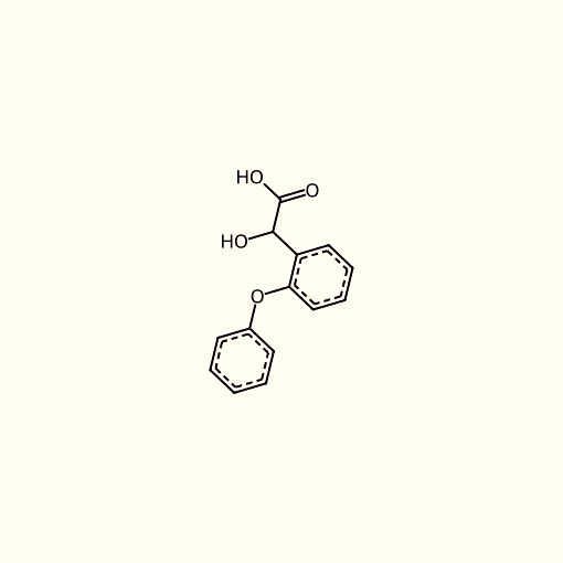 O=C(O)C(O)c1ccccc1Oc1ccccc1